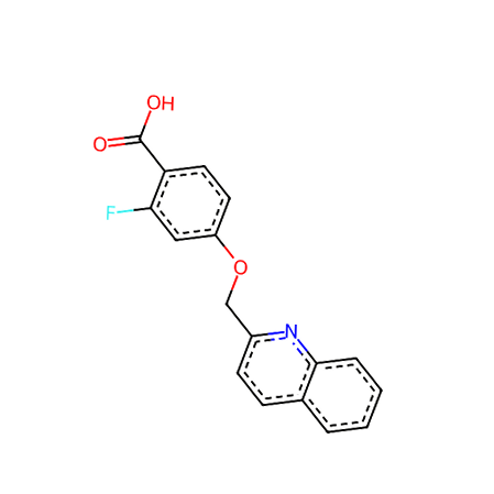 O=C(O)c1ccc(OCc2ccc3ccccc3n2)cc1F